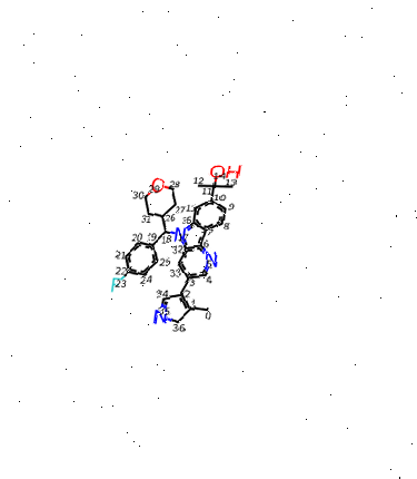 CC1=C(c2cnc3c4ccc(C(C)(C)O)cc4n(C(c4ccc(F)cc4)C4CCOCC4)c3c2)C=NC1